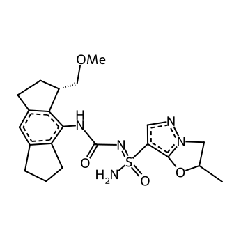 COC[C@H]1CCc2cc3c(c(NC(=O)N=S(N)(=O)c4cnn5c4OC(C)C5)c21)CCC3